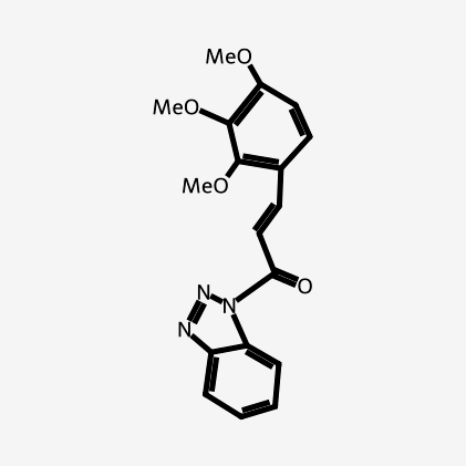 COc1ccc(C=CC(=O)n2nnc3ccccc32)c(OC)c1OC